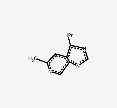 Cc1cc2c(C(C)C)ncnc2cn1